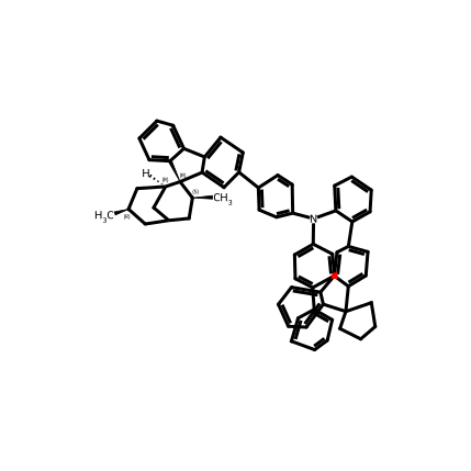 C[C@@H]1CC2C[C@@H](C1)[C@@]1(c3ccccc3-c3ccc(-c4ccc(N(c5ccc(-c6ccccc6)cc5)c5ccccc5-c5ccc6c(c5)-c5ccccc5C65CCCC5)cc4)cc31)[C@@H](C)C2